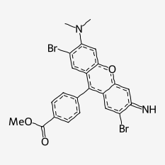 COC(=O)c1ccc(-c2c3cc(Br)c(=N)cc-3oc3cc(N(C)C)c(Br)cc23)cc1